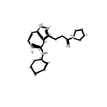 O=C(CCc1n[nH]c2ccnc(NC3CCCCC3)c12)N1CCCC1